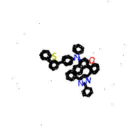 C1=CCC(c2nc(-c3ccccc3)cc(-c3cccc4oc5cc(N(c6ccccc6)c6ccc(-c7cccc8c7sc7ccccc78)cc6)c6ccccc6c5c34)n2)C=C1